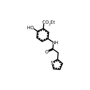 CCOC(=O)c1cc(NC(=O)Cc2cccs2)ccc1O